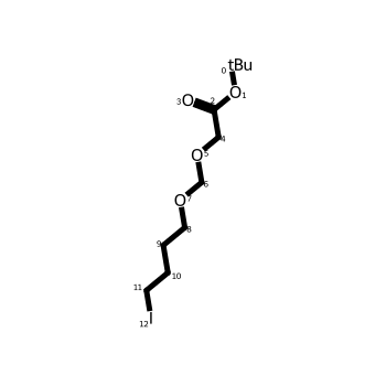 CC(C)(C)OC(=O)COCOCCCCI